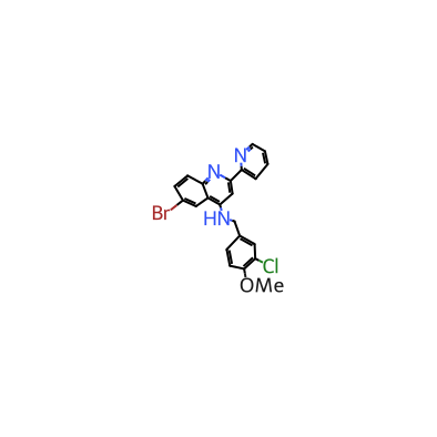 COc1ccc(CNc2cc(-c3ccccn3)nc3ccc(Br)cc23)cc1Cl